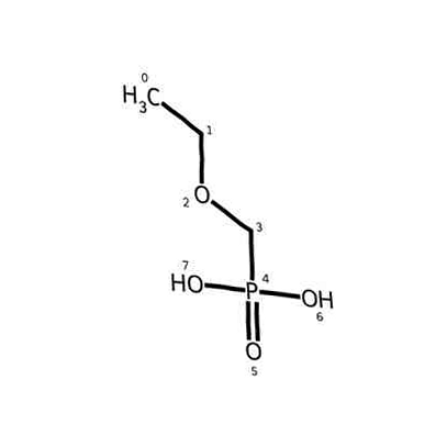 CCOCP(=O)(O)O